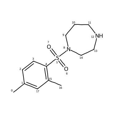 Cc1ccc(S(=O)(=O)N2CCCNCC2)c(C)c1